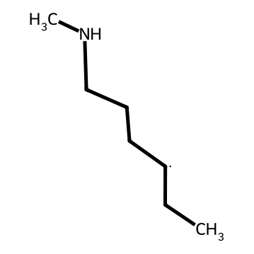 CC[CH]CCCNC